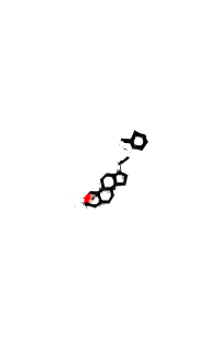 COC[C@]12CC[C@@](C)(O)C[C@@H]1CC[C@H]1[C@@H]3CC[C@H](C(=O)Cn4ncc5cc(F)ccc54)C3(C)CC[C@@H]12